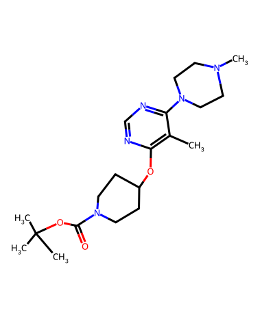 Cc1c(OC2CCN(C(=O)OC(C)(C)C)CC2)ncnc1N1CCN(C)CC1